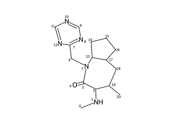 CNC1C(=O)N(Cc2ncncn2)C2CCCC2CC1C